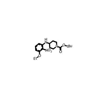 CCOc1cccc(NC2CCN(C(=O)OC(C)(C)C)CC2)c1[N+](=O)[O-]